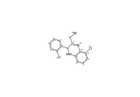 Clc1ccccc1C1Nc2cccc(Cl)c2N=C1CBr